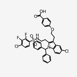 O=C(O)c1ccc(OCCc2c(CCNS(=O)(=O)c3ccc(Cl)c(F)c3F)n(C(c3ccccc3)c3ccccc3)c3ccc(Cl)cc23)cc1